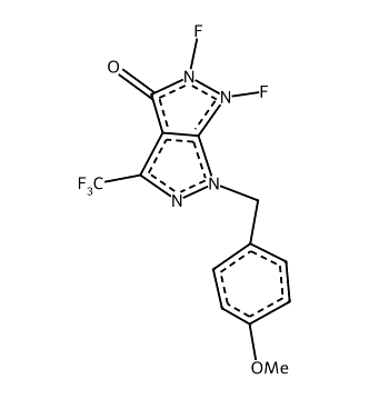 COc1ccc(Cn2nc(C(F)(F)F)c3c(=O)n(F)n(F)c32)cc1